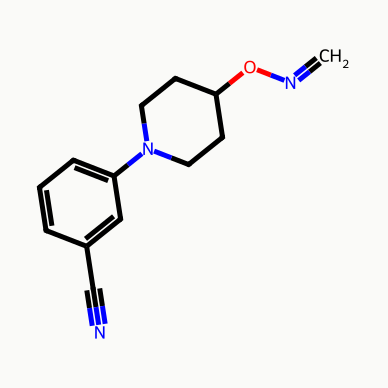 C=NOC1CCN(c2cccc(C#N)c2)CC1